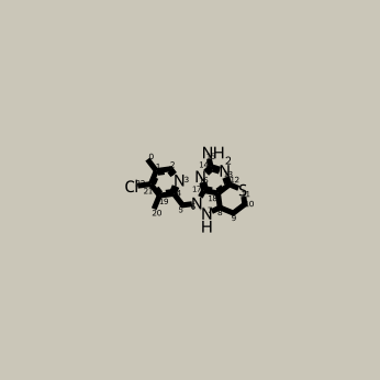 Cc1cnc(CN2NC3CCSc4nc(N)nc2c43)c(C)c1Cl